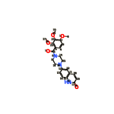 COc1ccc(C(=O)N2CCN(c3ccc4[nH]c(=O)ccc4c3)CC2)c(OC)c1OC